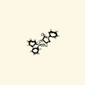 CC(C)(C)[Si](O[C@@H]1CCN(c2ccccc2)C1=O)(c1ccccc1)c1ccccc1